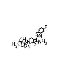 CC(C)(C)OC(=O)N1CCc2c(sc(N)c2-c2nc3cc(F)ccc3s2)C1